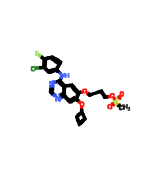 CS(=O)(=O)OCCCOc1cc2c(Nc3ccc(F)c(Cl)c3)ncnc2cc1OC1CCC1